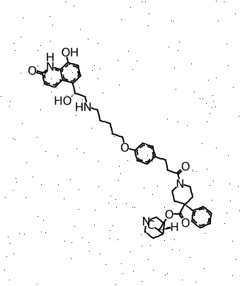 O=C(CCc1ccc(OCCCCCNC[C@H](O)c2ccc(O)c3[nH]c(=O)ccc23)cc1)N1CCC(C(=O)O[C@H]2CN3CCC2CC3)(c2ccccc2)CC1